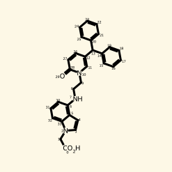 O=C(O)Cn1ccc2c(NCCn3cc(C(c4ccccc4)c4ccccc4)ccc3=O)cccc21